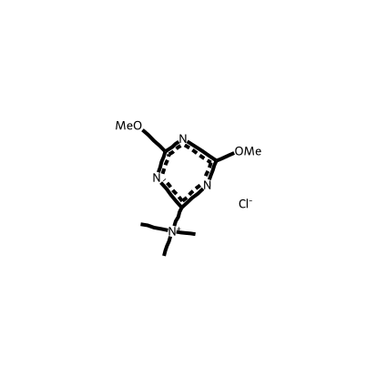 COc1nc(OC)nc([N+](C)(C)C)n1.[Cl-]